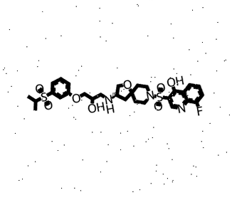 CC(C)S(=O)(=O)c1cccc(OCC(O)CN[C@H]2COC3(CCN(S(=O)(=O)c4cnc5c(F)cccc5c4O)CC3)C2)c1